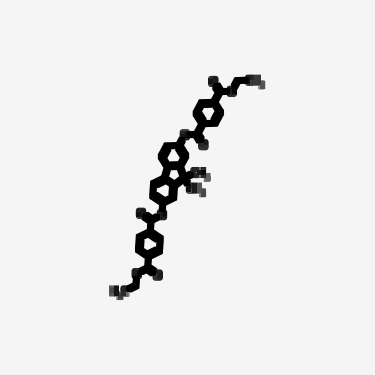 CCOC(=O)c1ccc(C(=O)Oc2ccc3c(c2)C(C)(C)c2cc(OC(=O)c4ccc(C(=O)OCC)cc4)ccc2-3)cc1